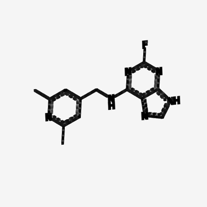 Cc1cc(CNc2nc(F)nc3[nH]cnc23)cc(C)n1